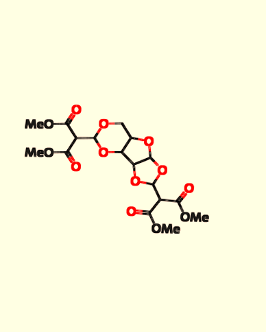 COC(=O)C(C(=O)OC)C1OCC2OC3OC(C(C(=O)OC)C(=O)OC)OC3C2O1